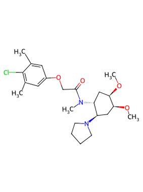 CO[C@H]1C[C@@H](N2CCCC2)[C@H](N(C)C(=O)COc2cc(C)c(Cl)c(C)c2)C[C@H]1OC